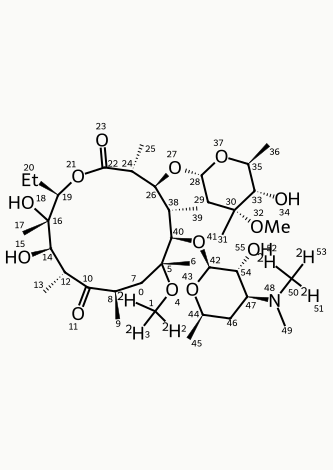 [2H]C([2H])([2H])O[C@]1(C)C[C@@H](C)C(=O)[C@H](C)[C@@H](O)[C@](C)(O)[C@@H](CC)OC(=O)[C@H](C)[C@@H](O[C@H]2C[C@@](C)(OC)[C@@H](O)[C@H](C)O2)[C@H](C)[C@H]1O[C@@H]1O[C@H](C)C[C@H](N(C)C([2H])([2H])[2H])[C@H]1O